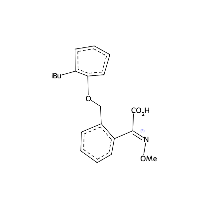 CCC(C)c1ccccc1OCc1ccccc1/C(=N\OC)C(=O)O